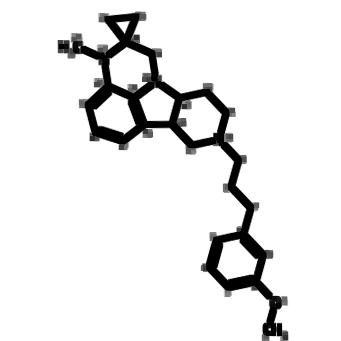 COc1cccc(CCCN2CCC3C(C2)c2cccc4c2N3CC2(CC2)N4C)c1